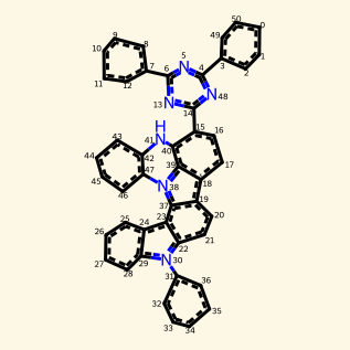 c1ccc(-c2nc(-c3ccccc3)nc(-c3ccc4c5ccc6c(c7ccccc7n6-c6ccccc6)c5n5c4c3Nc3ccccc3-5)n2)cc1